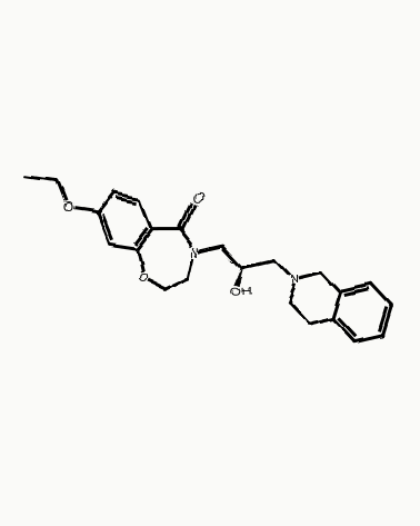 CCOc1ccc2c(c1)OCCN(C[C@H](O)CN1CCc3ccccc3C1)C2=O